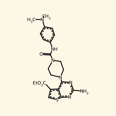 CCOC(=O)c1csc2nc(N)nc(N3CCN(C(=O)Nc4ccc(N(C)C)cc4)CC3)c12